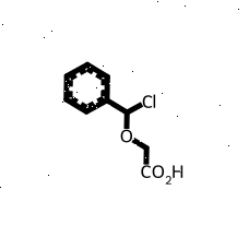 O=C(O)COC(Cl)c1ccccc1